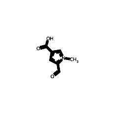 Cn1cc(C(=O)O)cc1C=O